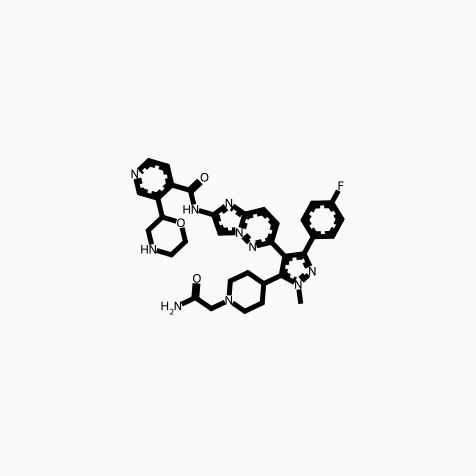 Cn1nc(-c2ccc(F)cc2)c(-c2ccc3nc(NC(=O)c4ccncc4C4CNCCO4)cn3n2)c1C1CCN(CC(N)=O)CC1